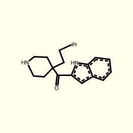 CC(C)CCC1(C(=O)c2cc3ccccc3[nH]2)CCNCC1